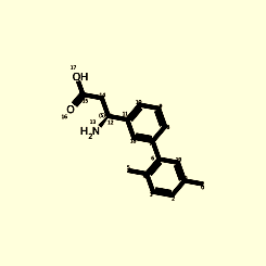 Cc1ccc(C)c(-c2cccc([C@@H](N)CC(=O)O)c2)c1